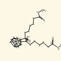 COC(=O)CCCCCC(=O)[C]12[CH]3[CH]4[CH]5[CH]1[Fe]45321678[CH]2[CH]1[CH]6[C]7(C(=O)CCCCCC(=O)OC)[CH]28